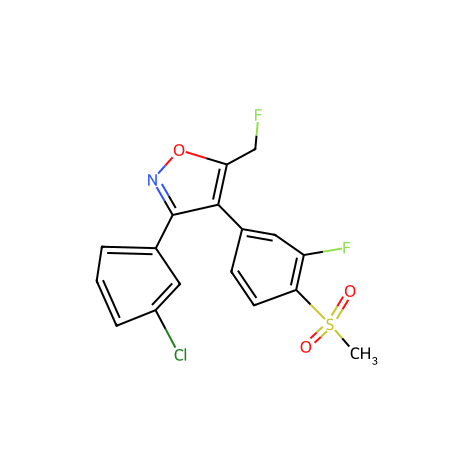 CS(=O)(=O)c1ccc(-c2c(-c3cccc(Cl)c3)noc2CF)cc1F